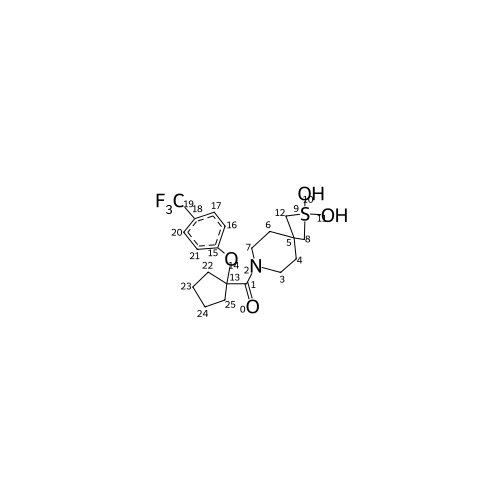 O=C(N1CCC2(CC1)CS(O)(O)C2)C1(Oc2ccc(C(F)(F)F)cc2)CCCC1